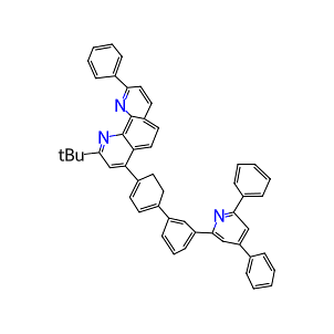 CC(C)(C)c1cc(C2=CC=C(c3cccc(-c4cc(-c5ccccc5)cc(-c5ccccc5)n4)c3)CC2)c2ccc3ccc(-c4ccccc4)nc3c2n1